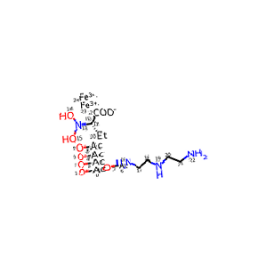 CC(=O)[O-].CC(=O)[O-].CC(=O)[O-].CC(=O)[O-].CC(=O)[O-].CC[C@@H](C(=O)[O-])N(O)O.NCCNCCN.[Fe+3].[Fe+3]